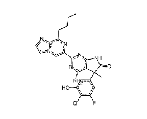 CCCCc1nc(-c2nc(N)c3c(n2)NC(=O)C3(C)c2cc(O)c(Cl)c(F)c2)cn2ccnc12